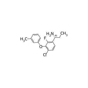 CC[C@@H](N)c1ccc(Cl)c(Oc2cccc(C)c2)c1F